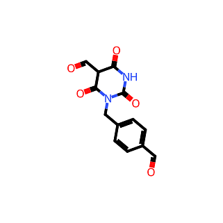 O=Cc1ccc(CN2C(=O)NC(=O)C(C=O)C2=O)cc1